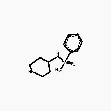 C[SH](=O)(NC1CCNCC1)c1ccccc1